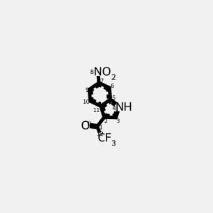 O=C(c1c[nH]c2cc([N+](=O)[O-])ccc12)C(F)(F)F